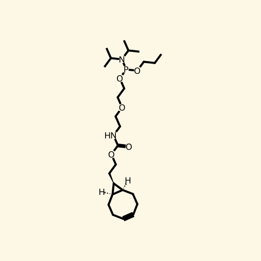 CCCOP(OCCOCCNC(=O)OCC[C@@H]1[C@@H]2CCC#CCC[C@@H]21)N(C(C)C)C(C)C